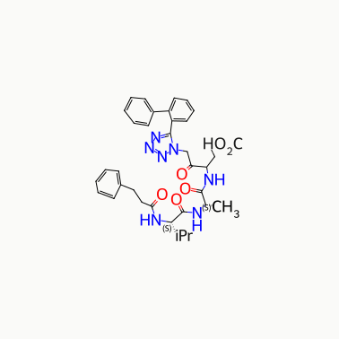 CC(C)[C@H](NC(=O)CCc1ccccc1)C(=O)N[C@@H](C)C(=O)NC(CC(=O)O)C(=O)Cn1nnnc1-c1ccccc1-c1ccccc1